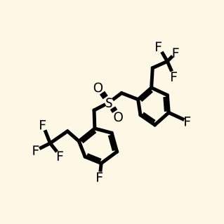 O=S(=O)(Cc1ccc(F)cc1CC(F)(F)F)Cc1ccc(F)cc1CC(F)(F)F